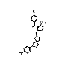 Nc1scc(CN2CCC3(CCN(c4ccc(Cl)cc4)C3)C2)c1C(=O)c1ccc(Cl)cc1